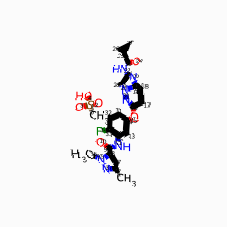 CS(=O)(=O)O.Cc1cc(C(=O)Nc2cc(Oc3ccc4nc(NC(=O)C5CC5)cn4n3)ccc2F)n(C)n1